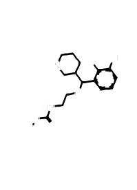 COC(=O)NCCOC(c1cccc(Cl)c1F)C1CCCNC1